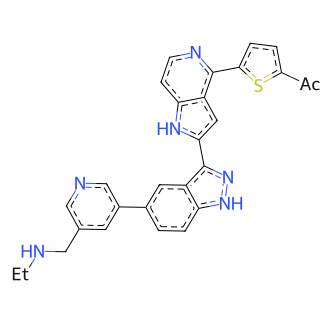 CCNCc1cncc(-c2ccc3[nH]nc(-c4cc5c(-c6ccc(C(C)=O)s6)nccc5[nH]4)c3c2)c1